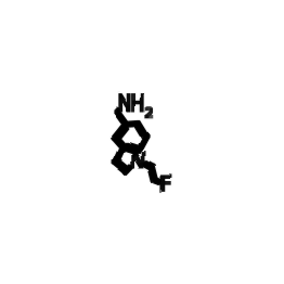 NCc1ccc2c(ccn2CCF)c1